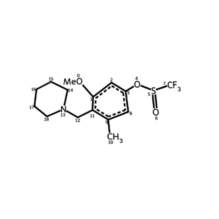 COc1cc(OS(=O)C(F)(F)F)cc(C)c1CN1CCCCC1